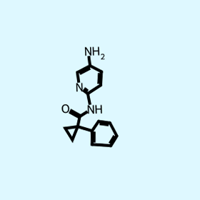 Nc1ccc(NC(=O)C2(c3ccccc3)CC2)nc1